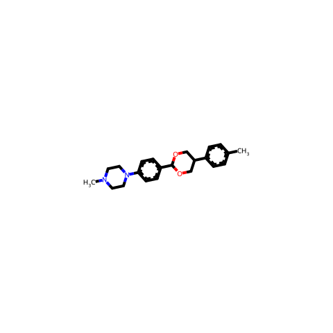 Cc1ccc(C2COC(c3ccc(N4CCN(C)CC4)cc3)OC2)cc1